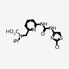 CC(C)N(Cc1cccc(NC(=O)Nc2csc(Cl)n2)n1)C(=O)O